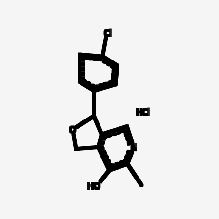 Cc1ncc2c(c1O)COC2c1ccc(Cl)cc1.Cl